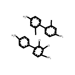 Cc1cc(N)ccc1-c1ccc(N)cc1C.Nc1ccc(-c2ccc(N)c(Cl)c2Cl)cc1